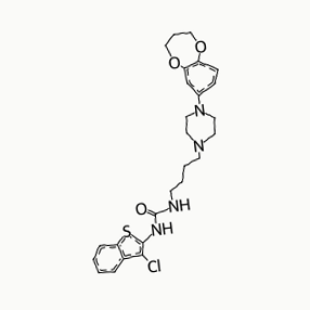 O=C(NCCCCN1CCN(c2ccc3c(c2)OCCCO3)CC1)Nc1sc2ccccc2c1Cl